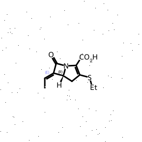 C/C=C1/C(=O)N2C(C(=O)O)=C(SCC)C[C@H]12